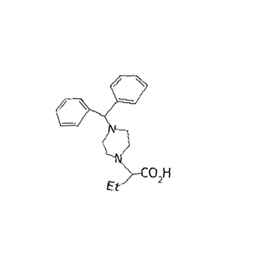 CCC(C(=O)O)N1CCN(C(c2ccccc2)c2ccccc2)CC1